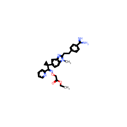 CCOC(=O)CO/N=C(\c1ccccn1)C1(c2ccc3c(c2)nc(CCc2ccc(C(=N)N)cc2)n3C)CC1